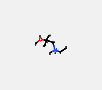 CCN(C)CC(C)(C)OC